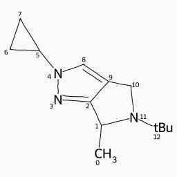 CC1c2nn(C3CC3)cc2CN1C(C)(C)C